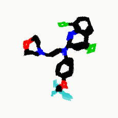 FC(F)(F)Oc1ccc(N(CCN2CCOCC2)c2cc(Cl)c3cccc(Cl)c3n2)cc1